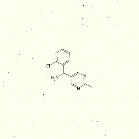 Cc1ncc(C(N)c2ccccc2Cl)cn1